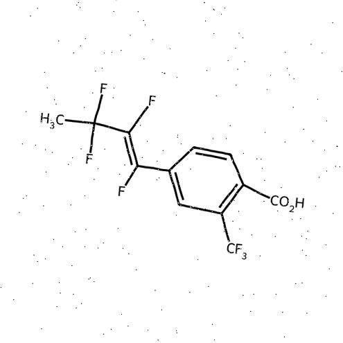 CC(F)(F)C(F)=C(F)c1ccc(C(=O)O)c(C(F)(F)F)c1